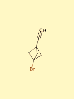 C#CC12CC(Br)(C1)C2